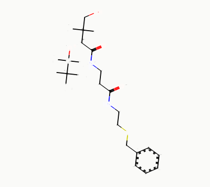 CC(C)(CO)[C@@H](O[Si](C)(C)C(C)(C)C)C(=O)NCCC(=O)NCCSCc1ccccc1